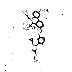 CCOC(=O)C[C@H](CC1CC1)c1cccc(OCc2ccc(-c3cc(OC)ccc3F)c([C@H](OCCOC)C(C)(C)C)c2)c1